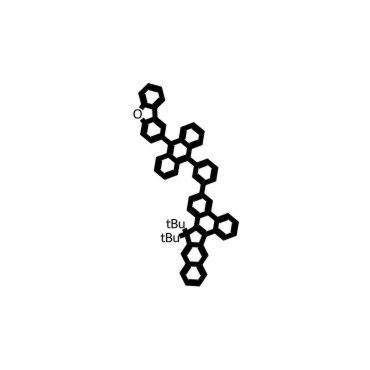 CC(C)(C)C1(C(C)(C)C)c2cc3ccccc3cc2-c2c1c1ccc(-c3cccc(-c4c5ccccc5c(-c5ccc6oc7ccccc7c6c5)c5ccccc45)c3)cc1c1ccccc21